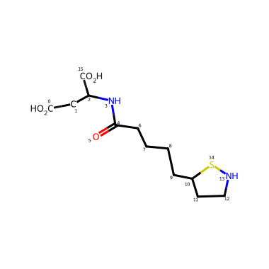 O=C(O)CC(NC(=O)CCCCC1CCNS1)C(=O)O